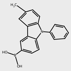 Cc1ccc2c(c1)c1cc(B(O)O)ccc1n2-c1ccccc1